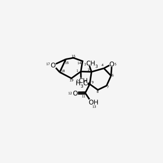 CC1(C2(C)C3OC3CCC2(C)C(=O)O)CCC2OC2C1